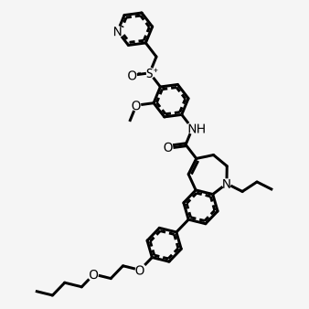 CCCCOCCOc1ccc(-c2ccc3c(c2)C=C(C(=O)Nc2ccc([S+]([O-])Cc4cccnc4)c(OC)c2)CCN3CCC)cc1